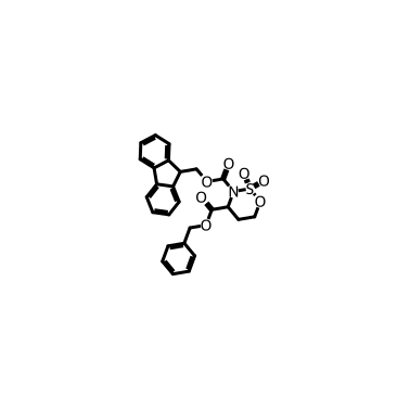 O=C(OCc1ccccc1)C1CCOS(=O)(=O)N1C(=O)OCC1c2ccccc2-c2ccccc21